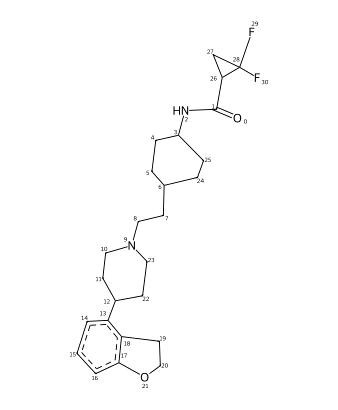 O=C(NC1CCC(CCN2CCC(c3cccc4c3CCO4)CC2)CC1)C1CC1(F)F